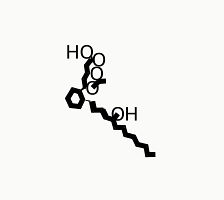 CCCCCCCCC(O)C=CC=C[C@@H]1CCCC[C@H]1C(CCCC(=O)O)OC(C)=O